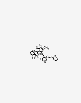 COc1c(Cl)cccc1NC(=S)C1=C(NCc2ccncc2OCCC2CCCCO2)C[C@@H](C)NC1=O